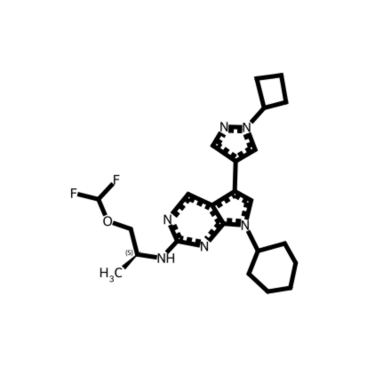 C[C@@H](COC(F)F)Nc1ncc2c(-c3cnn(C4CCC4)c3)cn(C3CCCCC3)c2n1